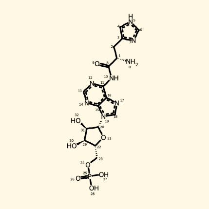 N[C@@H](Cc1c[nH]cn1)C(=O)Nc1ncnc2c1ncn2[C@@H]1O[C@H](COP(=O)(O)O)[C@@H](O)[C@H]1O